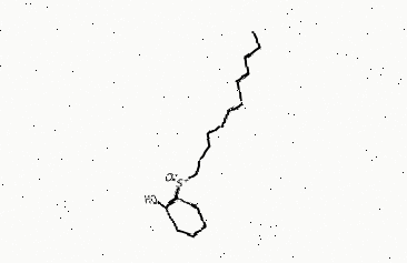 CCCCCCCCCCCC[S@@+]([O-])[C@H]1CCCCC1O